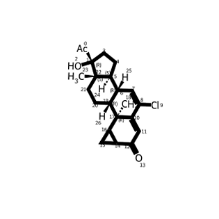 CC(=O)[C@@]1(O)CC[C@H]2[C@@H]3C=C(Cl)C4=CC(=O)C5CC5[C@@]4(C)[C@@H]3CC[C@@]21C